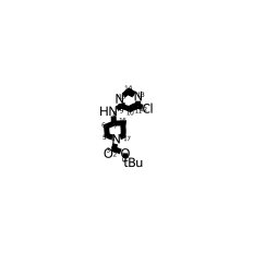 CC(C)(C)OC(=O)N1CCC(Nc2cc(Cl)ncn2)CC1